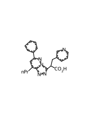 CCCc1cc(-c2ccccc2)nn2c(C(Cc3cccnc3)C(=O)O)nnc12